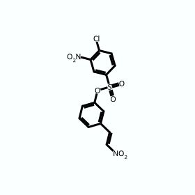 O=[N+]([O-])C=Cc1cccc(OS(=O)(=O)c2ccc(Cl)c([N+](=O)[O-])c2)c1